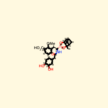 COc1c(C[C@H](NC(=O)Cc2ccc(O)c(O)c2)B2OC3CC4CC(C4(C)C)C3(C)O2)cccc1C(=O)O